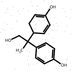 CC(CO)(c1ccc(O)cc1)C1C=CC(O)=CC1